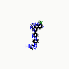 CN1CCNCC1N=C1CCN(c2ccc(-c3cc(-c4cccc(Br)c4)c4c(N)ncnc4n3)cn2)CC1